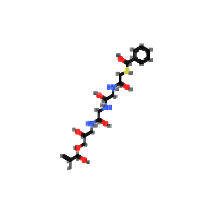 C=C(C)C(=O)OCC(=O)CNC(=O)CNC(=O)CNC(=O)CSC(=O)c1ccccc1